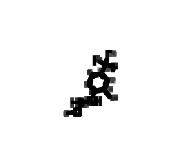 COBNc1ccc(C(F)(F)F)cc1C